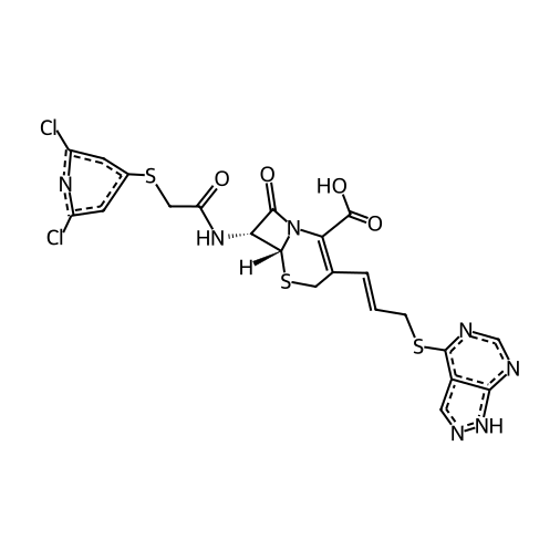 O=C(CSc1cc(Cl)nc(Cl)c1)N[C@@H]1C(=O)N2C(C(=O)O)=C(C=CCSc3ncnc4[nH]ncc34)CS[C@H]12